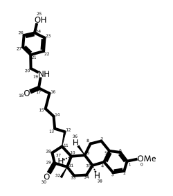 COc1ccc2c(c1)CC[C@H]1[C@@H]3[C@H](CCCCCC(=O)NCc4ccc(O)cc4)CC(=O)[C@@]3(C)CC[C@H]21